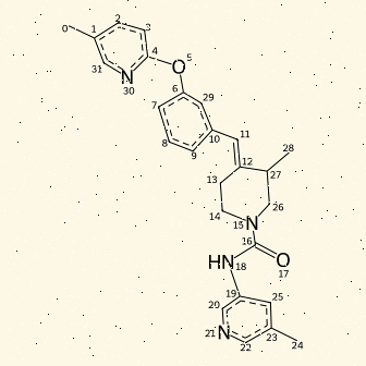 Cc1ccc(Oc2cccc(/C=C3\CCN(C(=O)Nc4cncc(C)c4)CC3C)c2)nc1